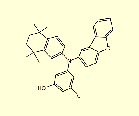 CC1(C)CCC(C)(C)c2cc(N(c3cc(O)cc(Cl)c3)c3ccc4oc5ccccc5c4c3)ccc21